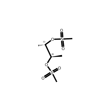 C[C@H](OS(C)(=O)=O)[C@@H](C)OS(C)(=O)=O